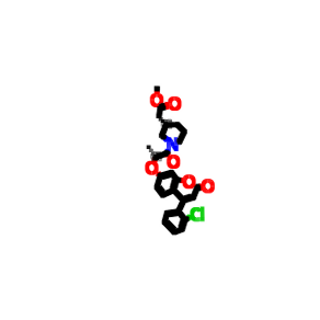 COC(=O)C[C@@H]1CCCN(C(=O)[C@@H](C)Oc2ccc3c(-c4ccccc4Cl)cc(=O)oc3c2)C1